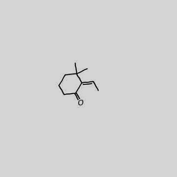 C/C=C1\C(=O)CCCC1(C)C